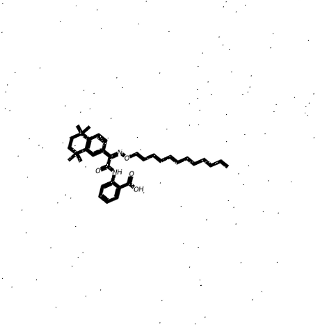 CCCCCCCCCCCCON=C(C(=O)Nc1ccccc1C(=O)O)c1ccc2c(c1)C(C)(C)CCC2(C)C